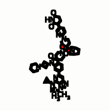 CC(C)n1cnc2cc(-c3ccc4c(c3)N([C@H]3C[C@@H](N5CCCCC5)C3)C(=O)C43CCN(C(=O)C4CC5CCC(C4)N5C(=O)C4CCN(c5ccc(C6CCC(=O)NC6=O)cn5)CC4)CC3)nc(NC3CC3)c21